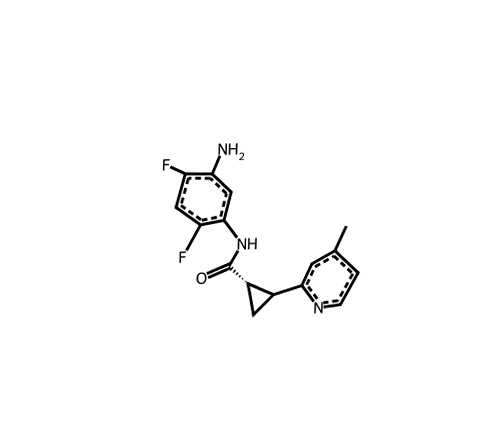 Cc1ccnc(C2C[C@@H]2C(=O)Nc2cc(N)c(F)cc2F)c1